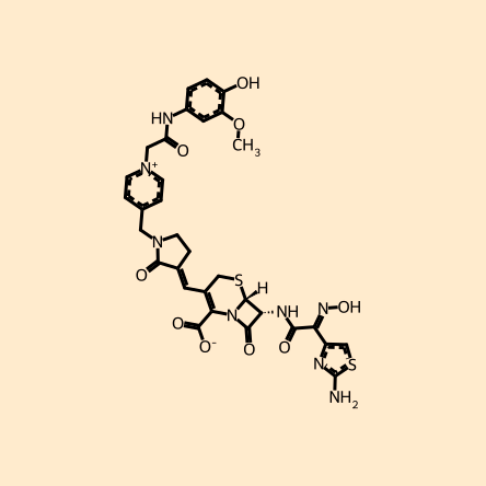 COc1cc(NC(=O)C[n+]2ccc(CN3CCC(=CC4=C(C(=O)[O-])N5C(=O)[C@@H](NC(=O)C(=NO)c6csc(N)n6)[C@H]5SC4)C3=O)cc2)ccc1O